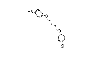 Sc1ccc(OCCCCCOc2ccc(S)cc2)cc1